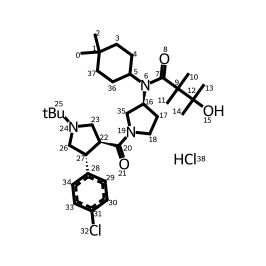 CC1(C)CCC(N(C(=O)C(C)(C)C(C)(C)O)[C@H]2CCN(C(=O)[C@@H]3CN(C(C)(C)C)C[C@H]3c3ccc(Cl)cc3)C2)CC1.Cl